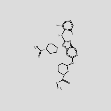 COC(=O)N1CCC[C@@H](Nc2ncc3nc(Nc4c(F)cccc4F)n([C@H]4CC[C@@H](C(N)=O)CC4)c3n2)C1